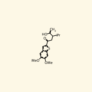 C=C(O)C(CC(=O)c1cc2cc(OC)c(OC)cc2s1)C(C)C